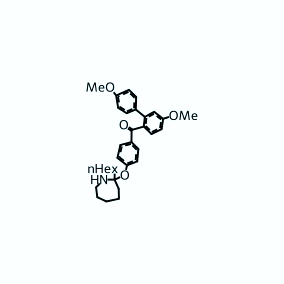 CCCCCCC1(Oc2ccc(C(=O)c3ccc(OC)cc3-c3ccc(OC)cc3)cc2)CCCCCN1